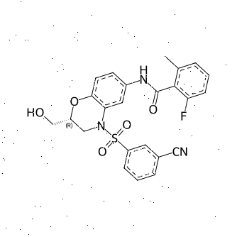 Cc1cccc(F)c1C(=O)Nc1ccc2c(c1)N(S(=O)(=O)c1cccc(C#N)c1)C[C@H](CO)O2